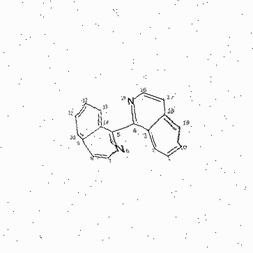 [c]1ccc2c(-c3nccc4ccccc34)nccc2c1